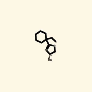 CC(C)(C)[C@H]1COC(C2(CI)CCCCC2)=N1